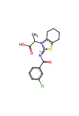 CC(C(=O)O)n1c2c(s/c1=N\C(=O)c1cccc(Cl)c1)CCCC2